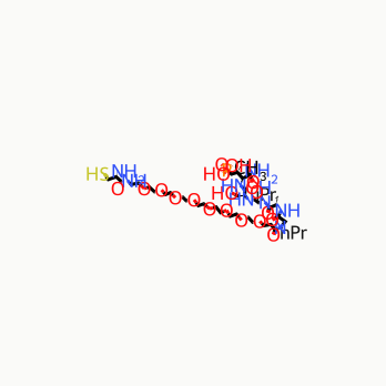 CCCN(CC(=O)N[C@@H](CC(C)C)C(=O)NCC(=O)N[C@@H](CO)C(=O)N[C@H](C(N)=O)[C@@H](C)CP(=O)(O)O)C(=O)CCOCCOCCOCCOCCOCCOCCOCCOCCNC(=O)[C@@H](N)CS